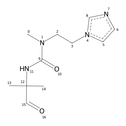 CN(CCn1ccnc1)C(=O)NC(C)(C)C=O